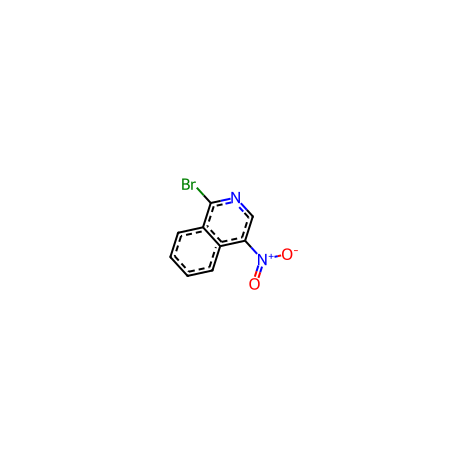 O=[N+]([O-])c1cnc(Br)c2ccccc12